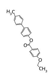 CCOc1ccc(C(=O)Oc2ccc(-c3ccc(C)cc3)cc2)cc1